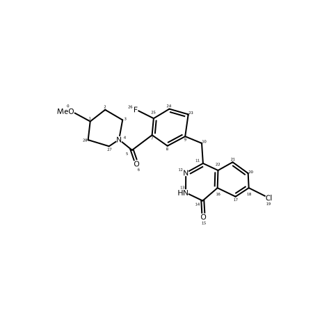 COC1CCN(C(=O)c2cc(Cc3n[nH]c(=O)c4cc(Cl)ccc34)ccc2F)CC1